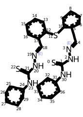 S=C(N/N=C/c1ccccc1Sc1ccccc1/C=N/NC(=S)Nc1ccccc1)Nc1ccccc1